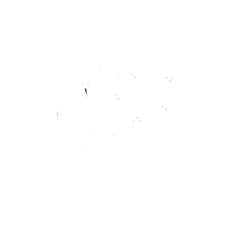 Nc1ncnc2c1nc(Cl)n2C1C(Cl)=C(CO)[C@H](O)[C@H]1O